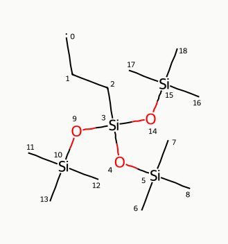 [CH2]CC[Si](O[Si](C)(C)C)(O[Si](C)(C)C)O[Si](C)(C)C